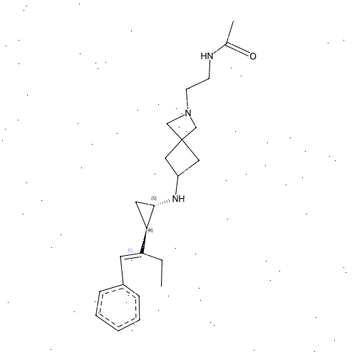 CC/C(=C\c1ccccc1)[C@H]1C[C@@H]1NC1CC2(C1)CN(CCNC(C)=O)C2